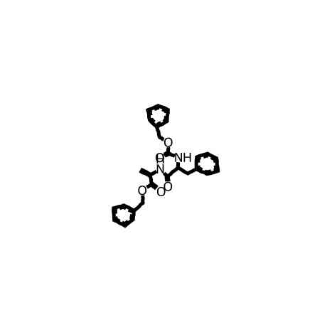 C=C(NC(=O)C(Cc1ccccc1)NC(=O)OCc1ccccc1)C(=O)OCc1ccccc1